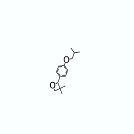 CC(C)COc1ccc(C2OCC2(C)C)cc1